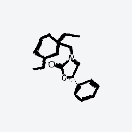 CCC1C=CCC(CC)(CN2C[C@H](c3ccccc3)OC2=O)C1